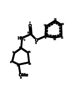 COC1CCC(NC(=O)Oc2ccccc2)CC1